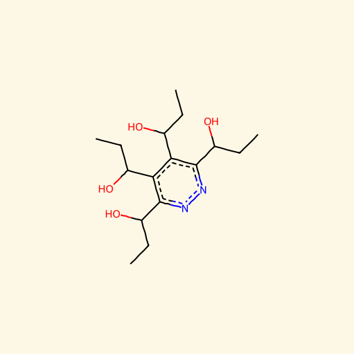 CCC(O)c1nnc(C(O)CC)c(C(O)CC)c1C(O)CC